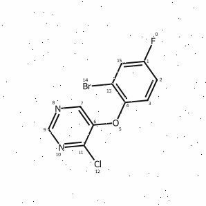 Fc1ccc(Oc2cncnc2Cl)c(Br)c1